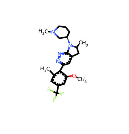 COc1cc(C(F)(F)F)cc(C)c1-c1cc2c(nn1)N([C@@H]1CCCN(C)C1)C(C)C2